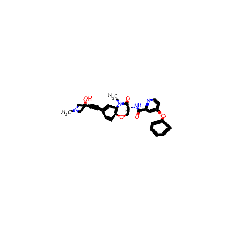 CN1CC(O)(C#Cc2ccc3c(c2)N(C)C(=O)[C@H](NC(=O)c2cc(Oc4ccccc4)ccn2)CO3)C1